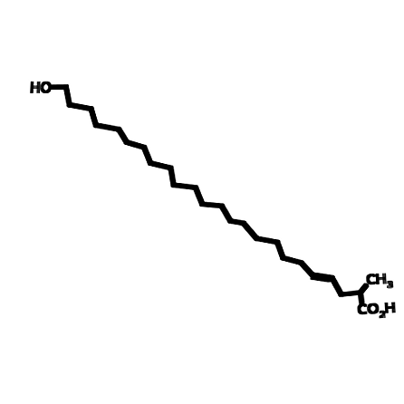 CC(CC=CCCCCCCCCCCCCCCCCCCCO)C(=O)O